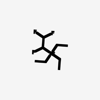 CC[N+](CC)(CC)C(F)C(F)F